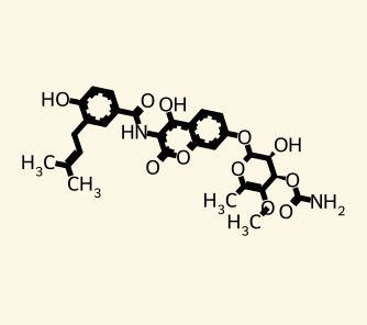 COC1=C(C)OC(Oc2ccc3c(O)c(NC(=O)c4ccc(O)c(CC=C(C)C)c4)c(=O)oc3c2)[C@@H](O)[C@H]1OC(N)=O